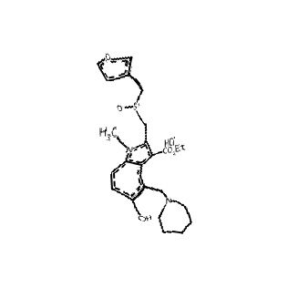 CCOC(=O)c1c(C[S+]([O-])Cc2ccoc2)n(C)c2ccc(O)c(CN3CCCCC3)c12.Cl